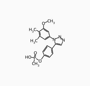 COc1cc(-n2nncc2-c2ccc(OP(C)(=O)O)cc2)cc(C)c1C